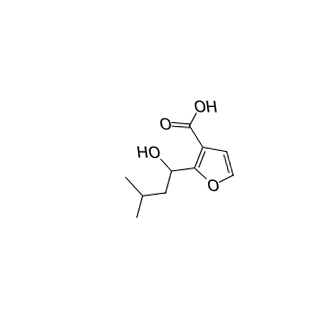 CC(C)CC(O)c1occc1C(=O)O